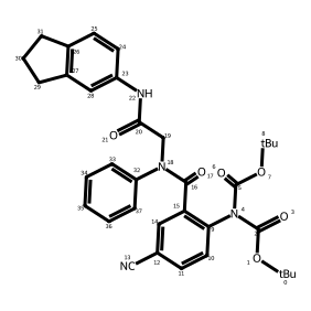 CC(C)(C)OC(=O)N(C(=O)OC(C)(C)C)c1ccc(C#N)cc1C(=O)N(CC(=O)Nc1ccc2c(c1)CCC2)c1ccccc1